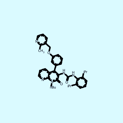 CCCCn1c(=O)c(NC(=O)Nc2c(C(C)C)cccc2C(C)C)c(-c2cccc(OCc3cccnc3C)c2)c2cccnc21